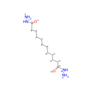 NNC(=O)CCCCCCCCCCC(=O)NN